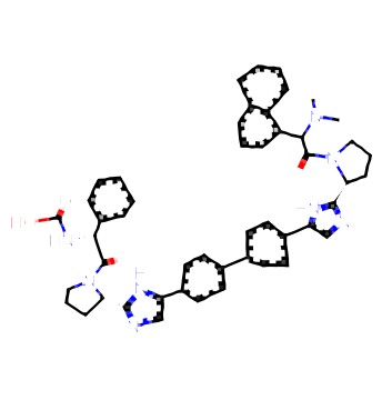 CN(C)C(C(=O)N1CCC[C@H]1c1ncc(-c2ccc(-c3ccc(-c4cnc([C@@H]5CCCN5C(=O)[C@H](NC(=O)O)c5ccccc5)[nH]4)cc3)cc2)[nH]1)c1cccc2ccccc12